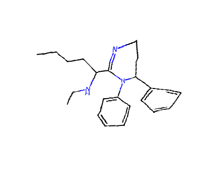 CCCCC(NCC)C1=NCCC(c2ccccc2)N1c1ccccc1